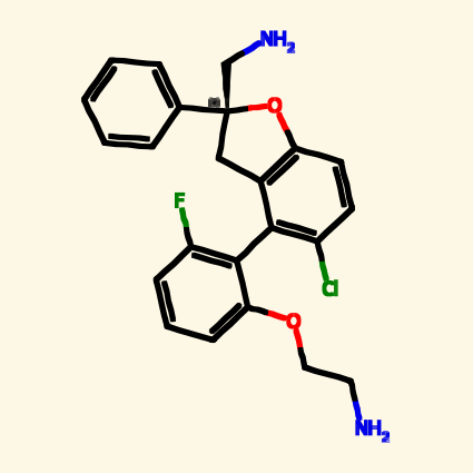 NCCOc1cccc(F)c1-c1c(Cl)ccc2c1C[C@](CN)(c1ccccc1)O2